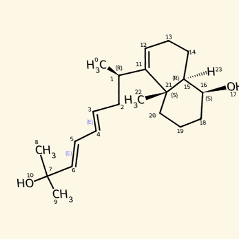 C[C@H](C/C=C/C=C/C(C)(C)O)C1=CCC[C@H]2[C@@H](O)CCC[C@]12C